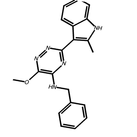 COc1nnc(-c2c(C)[nH]c3ccccc23)nc1NCc1ccccc1